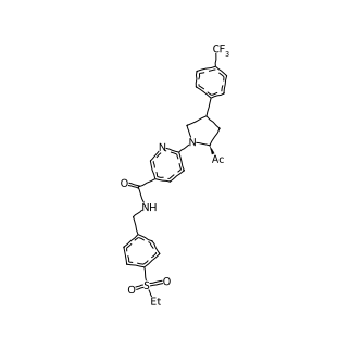 CCS(=O)(=O)c1ccc(CNC(=O)c2ccc(N3CC(c4ccc(C(F)(F)F)cc4)C[C@H]3C(C)=O)nc2)cc1